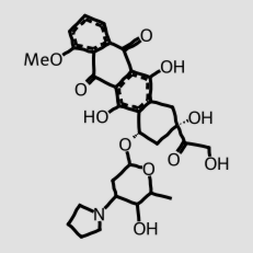 COc1cccc2c1C(=O)c1c(O)c3c(c(O)c1C2=O)C[C@@](O)(C(=O)CO)C[C@@H]3OC1CC(N2CCCC2)C(O)C(C)O1